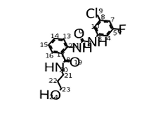 O=C(Nc1cc(F)cc(Cl)c1)Nc1ccccc1C(=O)NCCCO